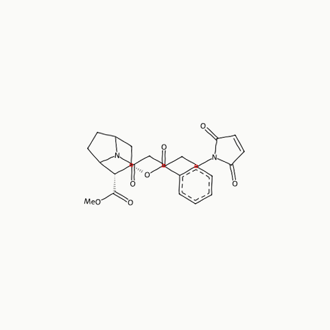 COC(=O)[C@@H]1C2CCC(C[C@@H]1OC(=O)c1ccccc1)N2C(=O)CCCCN1C(=O)C=CC1=O